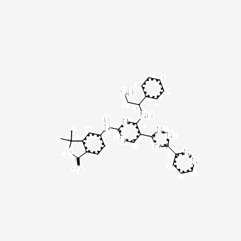 CC1(C)OC(=O)c2ccc(Nc3ncc(-c4nnc(-c5cccnn5)o4)c(NC(CO)c4ccccc4)n3)cc21